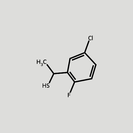 CC(S)c1cc(Cl)ccc1F